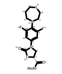 CNC(=O)[C@H]1CN(c2cc(F)c(N3CCCSCC3)c(F)c2)C(=O)O1